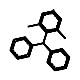 Cc1c[c]cc(C)c1C(c1ccccc1)c1ccccc1